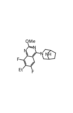 CCc1c(F)cc2c(N3CC4CCC(C3)N4)nc(OC)nc2c1F